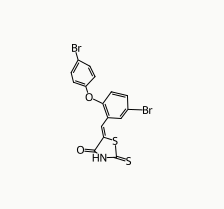 O=C1NC(=S)S/C1=C\c1cc(Br)ccc1Oc1ccc(Br)cc1